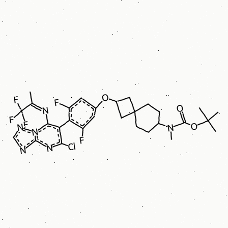 CC(=Nc1c(-c2c(F)cc(OC3CC4(CCC(N(C)C(=O)OC(C)(C)C)CC4)C3)cc2F)c(Cl)nc2ncnn12)C(F)(F)F